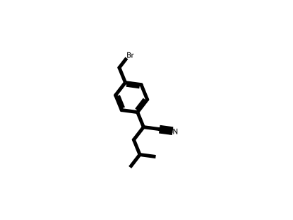 CC(C)CC(C#N)c1ccc(CBr)cc1